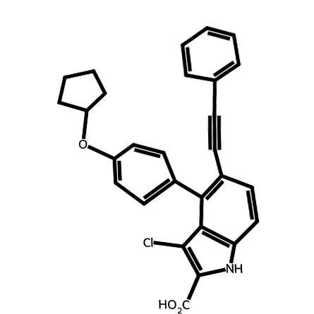 O=C(O)c1[nH]c2ccc(C#Cc3ccccc3)c(-c3ccc(OC4CCCC4)cc3)c2c1Cl